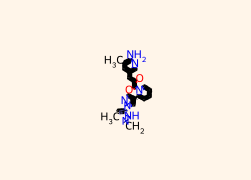 C=NN/C(=C\C)n1cc([C@@H]2CCCCN2C(=O)C(=O)Cc2cnc(N)c(C)c2)cn1